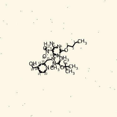 CCCCOc1nc(N)c([N+](=O)[O-])c(N(Cc2cc(CO)ccn2)N(C)C(=O)OC(C)(C)C)n1